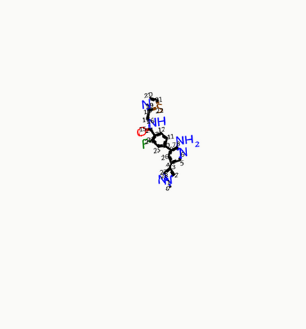 Cn1cc(-c2cnc(N)c(-c3ccc(C(=O)NCc4nccs4)c(F)c3)c2)cn1